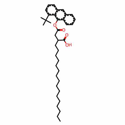 CCCCCCCCCCCCCCCCC(CC(=O)Oc1c2ccccc2cc2cccc(C(C)(C)C)c12)C(=O)O